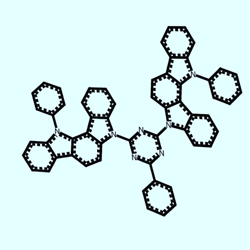 c1ccc(-c2nc(-n3c4ccccc4c4c3ccc3c5ccccc5n(-c5ccccc5)c34)nc(-n3c4ccccc4c4c3ccc3c5ccccc5n(-c5ccccc5)c34)n2)cc1